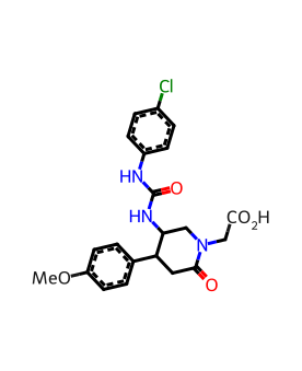 COc1ccc(C2CC(=O)N(CC(=O)O)CC2NC(=O)Nc2ccc(Cl)cc2)cc1